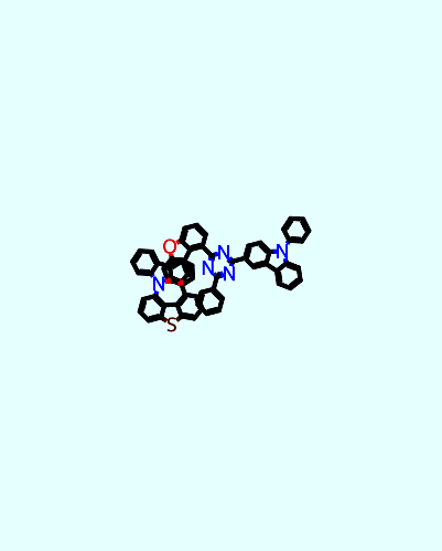 c1ccc(-c2nc(-c3ccc4c(c3)c3ccccc3n4-c3ccccc3)nc(-c3cccc4oc5ccc(-c6cccc7sc8cccc(-n9c%10ccccc%10c%10ccccc%109)c8c67)cc5c34)n2)cc1